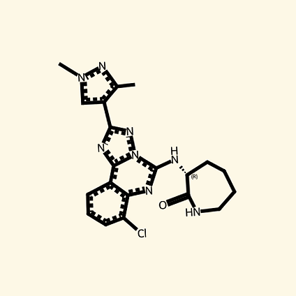 Cc1nn(C)cc1-c1nc2c3cccc(Cl)c3nc(N[C@@H]3CCCCNC3=O)n2n1